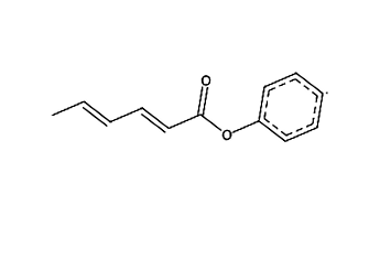 C/C=C/C=C/C(=O)Oc1cc[c]cc1